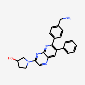 NCc1ccc(-c2nc3nc(N4CCC(O)C4)cnc3cc2-c2ccccc2)cc1